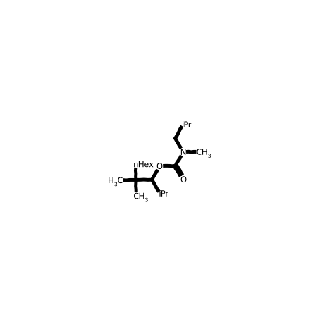 CCCCCCC(C)(C)C(OC(=O)N(C)CC(C)C)C(C)C